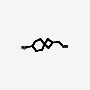 CNCC1CC2(CCC(C)CC2)C1